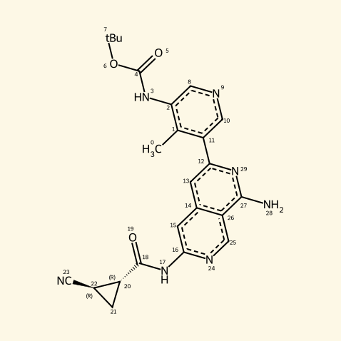 Cc1c(NC(=O)OC(C)(C)C)cncc1-c1cc2cc(NC(=O)[C@@H]3C[C@H]3C#N)ncc2c(N)n1